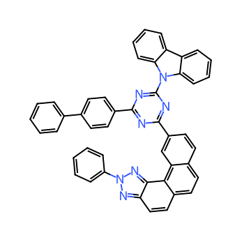 c1ccc(-c2ccc(-c3nc(-c4ccc5ccc6ccc7nn(-c8ccccc8)nc7c6c5c4)nc(-n4c5ccccc5c5ccccc54)n3)cc2)cc1